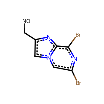 O=NCc1cn2cc(Br)nc(Br)c2n1